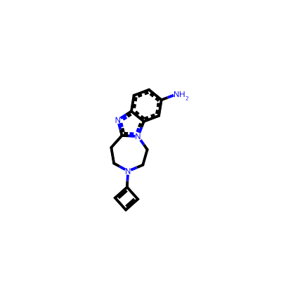 Nc1ccc2nc3n(c2c1)CCN(C1=CC=C1)CC3